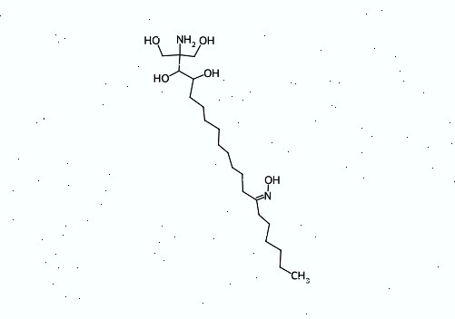 CCCCCCC(CCCCCCCCCC(O)C(O)C(N)(CO)CO)=NO